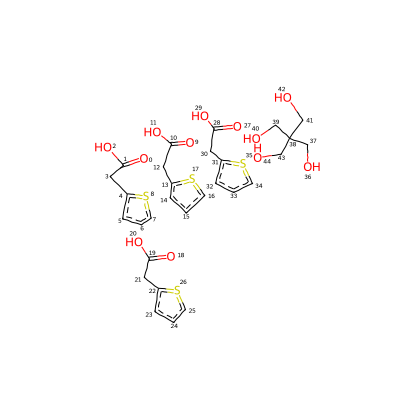 O=C(O)Cc1cccs1.O=C(O)Cc1cccs1.O=C(O)Cc1cccs1.O=C(O)Cc1cccs1.OCC(CO)(CO)CO